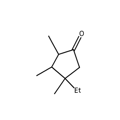 CCC1(C)CC(=O)C(C)C1C